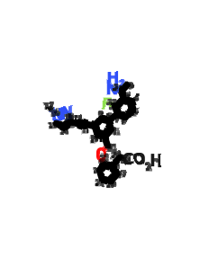 CC(N)c1cccc(-c2cc(C#Cc3ccn(C)n3)cc(COc3ccccc3CC(=O)O)c2)c1F